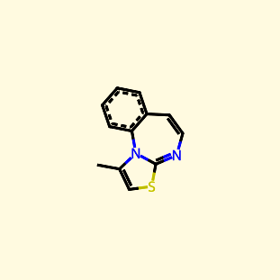 CC1=CSC2=NC=Cc3ccccc3N12